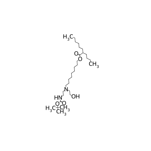 CCCCCCC(CCCC)C(=O)OCCCCCCCCCN(CCO)CCNC(=O)OC(C)(C)C